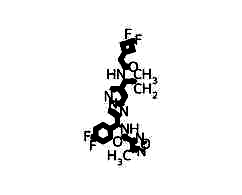 C=C(C)[C@@H](NC(=O)CC1CC(F)(F)C1)c1cnn2cc([C@@H](NC(=O)c3nonc3C)C3CCC(F)(F)CC3)nc2c1